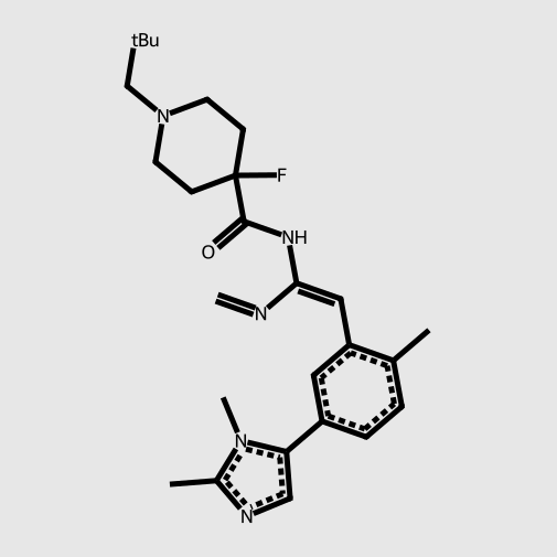 C=N/C(=C\c1cc(-c2cnc(C)n2C)ccc1C)NC(=O)C1(F)CCN(CC(C)(C)C)CC1